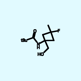 CC1(F)CC(CO)(NC(=O)C(C)(C)C)C1